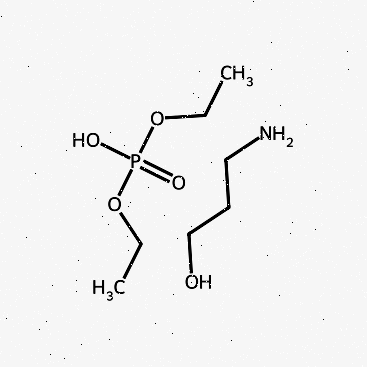 CCOP(=O)(O)OCC.NCCCO